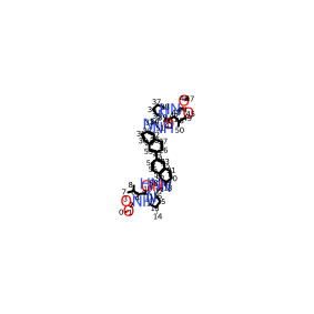 COC(=O)N[C@@H](C(C)C)C(O)N1C[C@@H](C)C[C@H]1c1nc2ccc3cc(-c4ccc5c(ccc6nc([C@@H]7CCCN7C(=O)[C@@H](NC(=O)OC)C(C)C)[nH]c65)c4)ccc3c2[nH]1